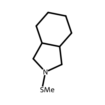 CSN1CC2CCCCC2C1